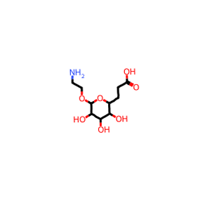 NCCOC1OC(CCC(=O)O)C(O)C(O)C1O